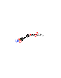 C=CC(=O)OCCCCOc1ccc(C#Cc2ccc(S(N)(=O)=O)cc2)cc1